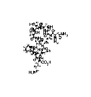 CC(C)C[C@H](NC(=O)[C@@H](NC(=O)CNC(=O)[C@H](CS)NC(=O)[C@@H](NC(=O)[C@H](CO)NC(=O)[C@@H]1CCCN1C(=O)[C@@H](N)CC(N)=O)[C@@H](C)O)C(C)C)C(=O)N[C@@H](Cc1c[nH]c2ccccc12)C(=O)N[C@@H](CCCCN)C(=O)O